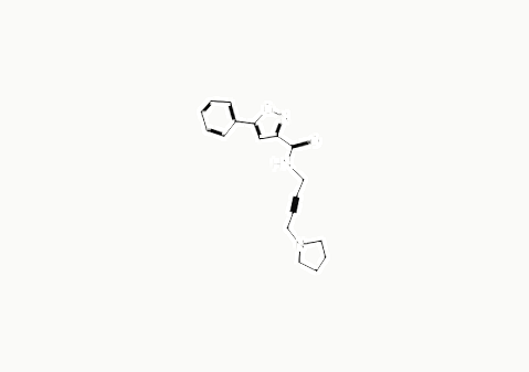 O=C(NCC#CCN1CCCC1)c1cc(-c2ccccc2)on1